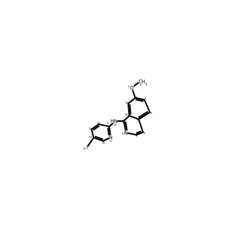 COc1ccc2ccnc(Nc3ccc(I)cn3)c2c1